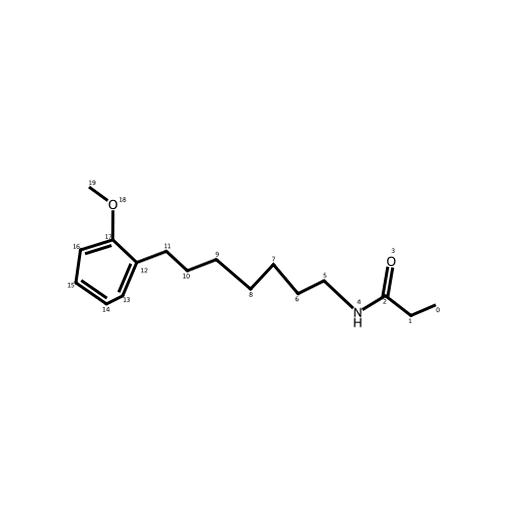 CCC(=O)NCCCCCCCc1ccccc1OC